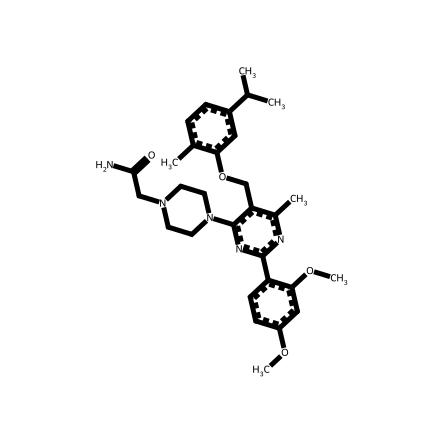 COc1ccc(-c2nc(C)c(COc3cc(C(C)C)ccc3C)c(N3CCN(CC(N)=O)CC3)n2)c(OC)c1